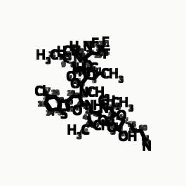 CC(C)C[C@H](NC(=O)[C@H](CC(C)C)N(C)C(=O)[C@@H](N)CC(F)(F)F)C(=O)N(C)C(Cc1csc2ccc(Cl)cc12)C(=O)N[C@@H](CC(C)C)C(=O)N(C)[C@@H](C)C(=O)O[C@H](CCCC#N)C(=O)O